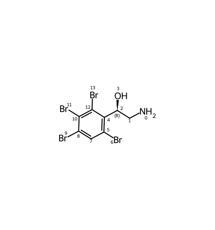 NC[C@H](O)c1c(Br)cc(Br)c(Br)c1Br